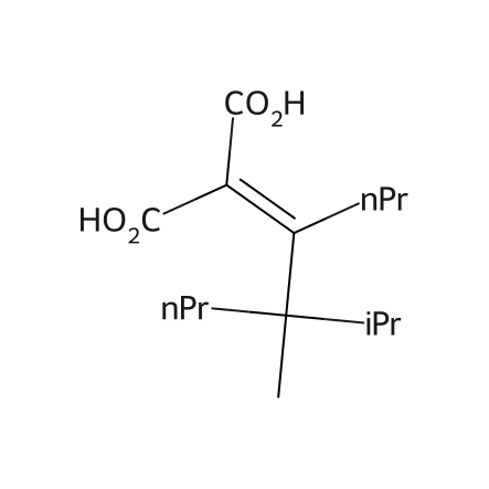 CCCC(=C(C(=O)O)C(=O)O)C(C)(CCC)C(C)C